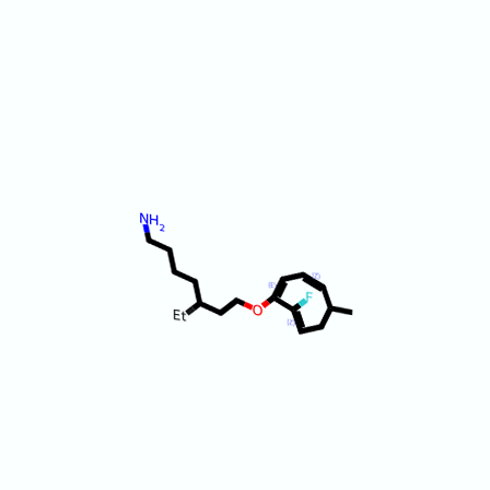 CCC(CCCCN)CCOC1=C/C=C\C(C)C\C=C\1F